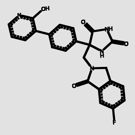 O=C1NC(=O)C(CN2Cc3ccc(F)cc3C2=O)(c2ccc(-c3cccnc3O)cc2)N1